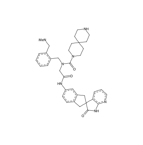 CNCc1ccccc1CN(CC(=O)Nc1ccc2c(c1)CC1(C2)C(=O)Nc2ncccc21)C(=O)N1CCC2(CCNCC2)CC1